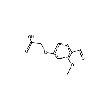 COc1cc(OCC(=O)O)ccc1C=O